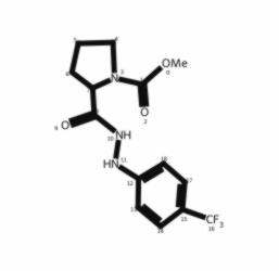 COC(=O)N1CCCC1C(=O)NNc1ccc(C(F)(F)F)cc1